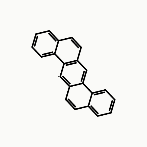 [c]1c2ccc3ccccc3c2cc2ccc3ccccc3c12